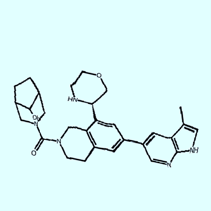 Cc1c[nH]c2ncc(-c3cc4c(c([C@@H]5COCCN5)c3)CN(C(=O)N3CC5CCC(C3)C5O)CC4)cc12